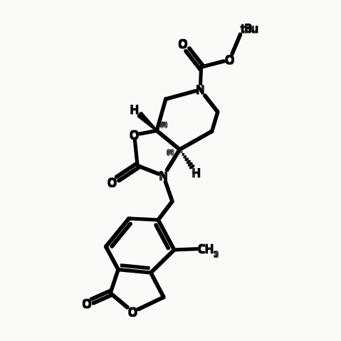 Cc1c(CN2C(=O)O[C@@H]3CN(C(=O)OC(C)(C)C)CC[C@H]32)ccc2c1COC2=O